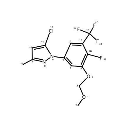 COCOc1cc(-n2nc(C)cc2Cl)cc(C(F)(F)F)c1F